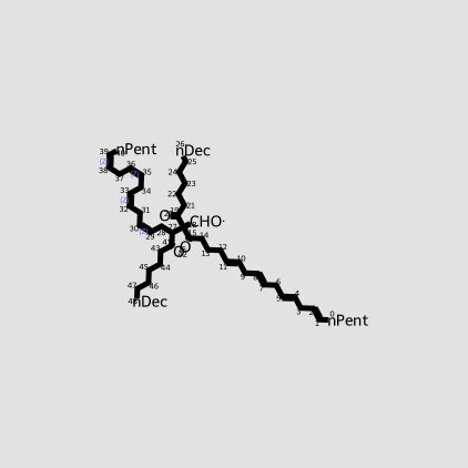 CCCCCC=CCC=CCC=CCC=CCCCC(=O)C([C]=O)(C(=O)CCCCCCCCCCCCCCC)C(C/C=C\C/C=C\C/C=C\C/C=C\CCCCC)C(=O)CCCCCCCCCCCCCCC